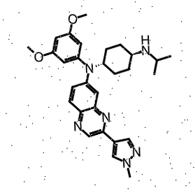 COc1cc(OC)cc(N(c2ccc3ncc(-c4cnn(C)c4)nc3c2)[C@H]2CC[C@H](NC(C)C)CC2)c1